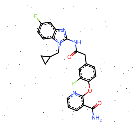 NC(=O)c1cccnc1Oc1ccc(CC(=O)Nc2nc3cc(F)ccc3n2CC2CC2)cc1F